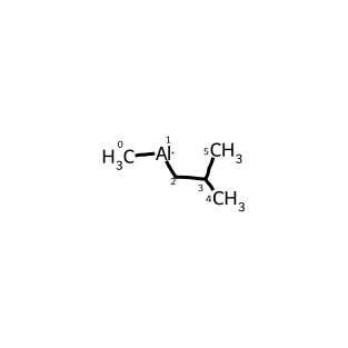 [CH3][Al][CH2]C(C)C